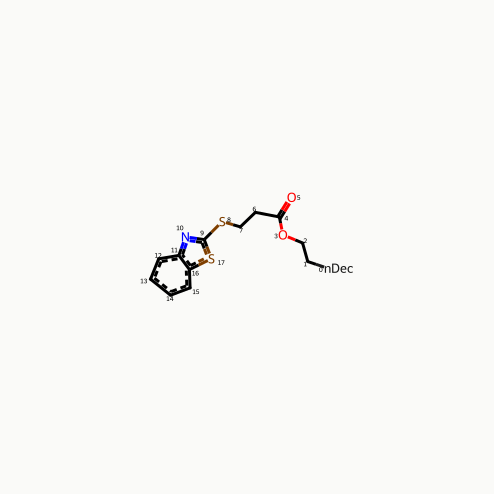 CCCCCCCCCCCCOC(=O)CCSc1nc2ccccc2s1